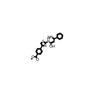 COC(=O)c1ccc(-c2csc(N/C(O)=C\C(=N)c3ccccc3)n2)cc1